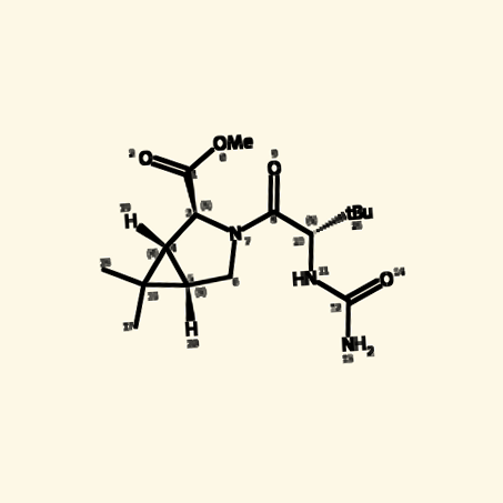 COC(=O)[C@@H]1[C@@H]2[C@H](CN1C(=O)[C@@H](NC(N)=O)C(C)(C)C)C2(C)C